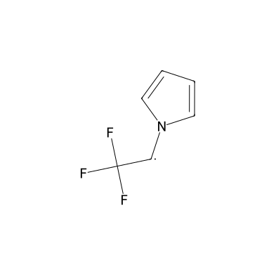 FC(F)(F)[CH]n1cccc1